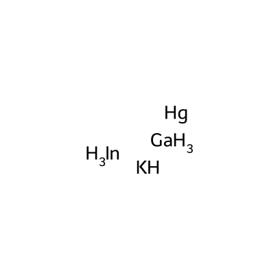 [GaH3].[Hg].[InH3].[KH]